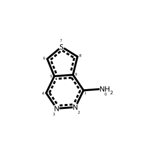 Nc1nncc2cscc12